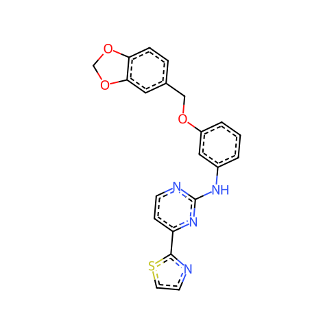 c1cc(Nc2nccc(-c3nccs3)n2)cc(OCc2ccc3c(c2)OCO3)c1